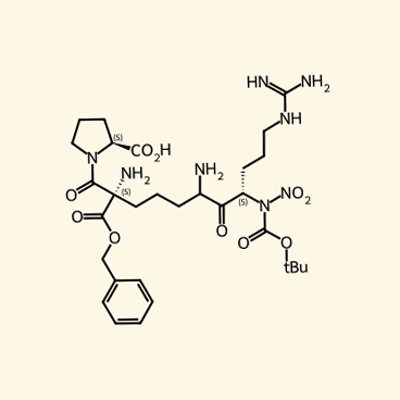 CC(C)(C)OC(=O)N([C@@H](CCCNC(=N)N)C(=O)C(N)CCC[C@@](N)(C(=O)OCc1ccccc1)C(=O)N1CCC[C@H]1C(=O)O)[N+](=O)[O-]